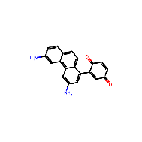 Nc1ccc2ccc3c(C4=CC(=O)C=CC4=O)cc(N)cc3c2c1